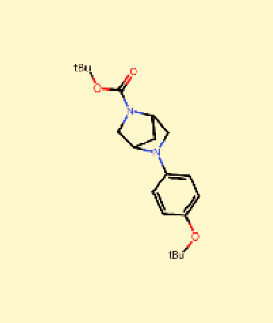 CC(C)(C)OC(=O)N1CC2CC1CN2c1ccc(OC(C)(C)C)cc1